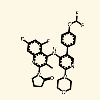 Cc1c(N2CCCC2=O)nc2cc(F)cc(F)c2c1Nc1cc(N2CCOCC2)ncc1-c1ccc(OC(F)F)cc1